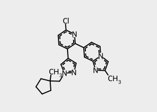 Cc1cn2ccc(-c3nc(Cl)ccc3-c3cnn(CC4(C)CCCC4)c3)cc2n1